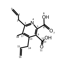 C=CCc1nc(C(=O)O)c(C(=O)O)c(CC=C)c1C